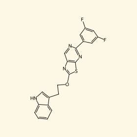 Fc1cc(F)cc(-c2ncc3nc(OCCc4c[nH]c5ccccc45)sc3n2)c1